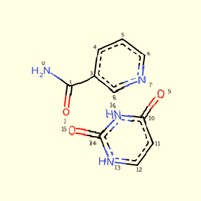 NC(=O)c1cccnc1.O=c1cc[nH]c(=O)[nH]1